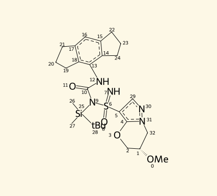 CO[C@@H]1COc2c(S(=N)(=O)N(C(=O)Nc3c4c(cc5c3CCC5)CCC4)[Si](C)(C)C(C)(C)C)cnn2C1